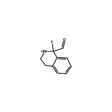 O=CC1(F)NCCc2ccccc21